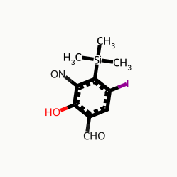 C[Si](C)(C)c1c(I)cc(C=O)c(O)c1N=O